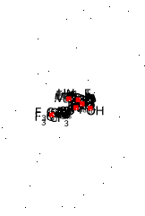 C#Cc1c(F)ccc2cc(O)cc(-c3nc(OC)c4c(N5CCN[C@@H](CC)[C@H]5C)nc(OC[C@@]56CCCN5C(COC(C(F)(F)F)(C(F)(F)F)C(F)(F)F)CC6)nc4c3F)c12